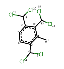 [CH]c1c(C(Cl)Cl)ccc(C(Cl)Cl)c1C(Cl)Cl